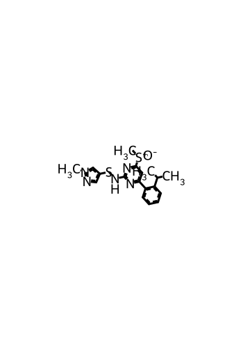 CC(C)c1ccccc1-c1cc([S+](C)[O-])nc(NSc2cnn(C)c2)n1